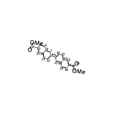 COC(=O)c1ccc2cc(-c3ccc4cc(C(=O)OC)ccc4c3)ccc2c1